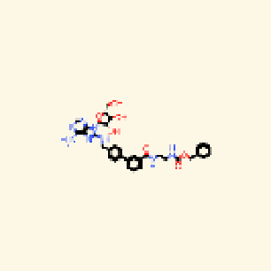 Nc1ncnc2c1nc(NCc1ccc(-c3cccc(C(=O)NCCNC(=O)OCc4ccccc4)c3)cc1)n2[C@@H]1O[C@H](CO)[C@@H](O)[C@H]1O